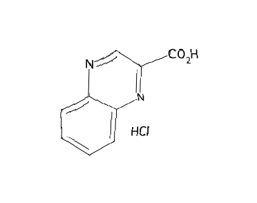 Cl.O=C(O)c1cnc2ccccc2n1